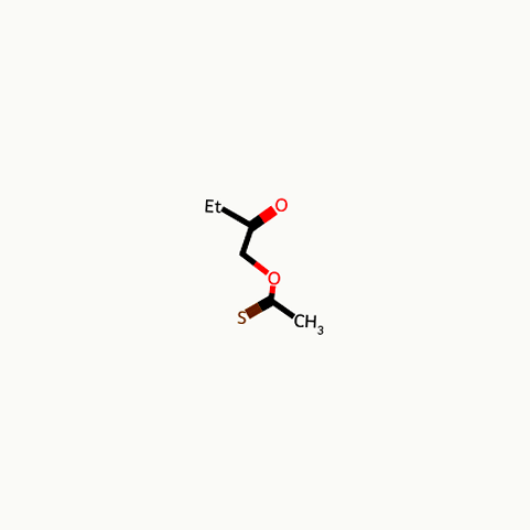 CCC(=O)COC(C)=S